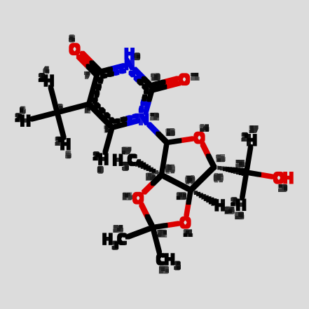 [2H]c1c(C([2H])([2H])[2H])c(=O)[nH]c(=O)n1C1O[C@H](C([2H])([2H])O)[C@H]2OC(C)(C)O[C@@]12C